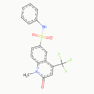 Cn1c(=O)cc(C(F)(F)F)c2cc(S(=O)(=O)Nc3ccccc3)ccc21